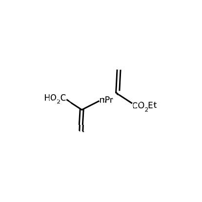 C=C(CCC)C(=O)O.C=CC(=O)OCC